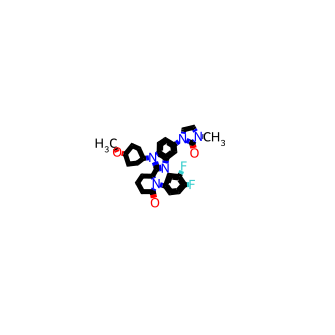 COC1CCC(n2c(C3CCCC(=O)N3c3ccc(F)c(F)c3)nc3cc(N4CCN(C)C4=O)ccc32)CC1